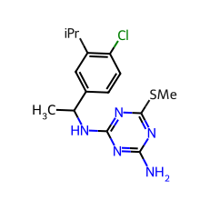 CSc1nc(N)nc(NC(C)c2ccc(Cl)c(C(C)C)c2)n1